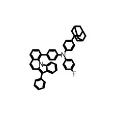 Fc1ccc(N(c2ccc(-c3cccc4ccc5c(-c6ccccc6)c6ccccc6n5c34)cc2)c2ccc(C34CC5CC(CC(C5)C3)C4)cc2)cc1